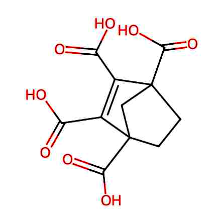 O=C(O)C1=C(C(=O)O)C2(C(=O)O)CCC1(C(=O)O)C2